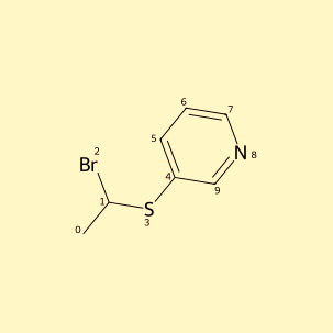 CC(Br)Sc1cccnc1